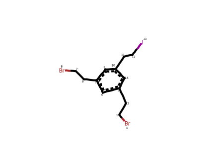 BrCCc1cc(CCBr)cc(CCI)c1